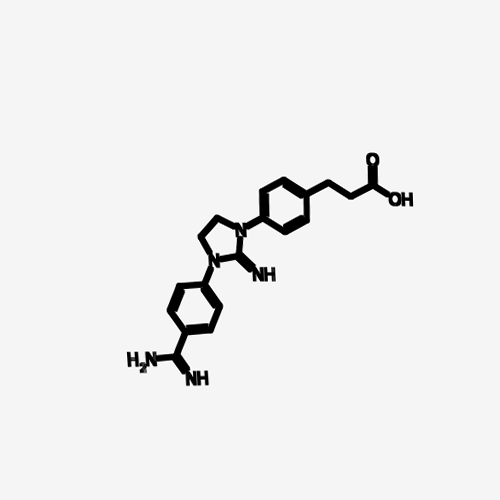 N=C(N)c1ccc(N2CCN(c3ccc(CCC(=O)O)cc3)C2=N)cc1